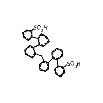 O=S(=O)(O)c1ccccc1-c1ccccc1-c1ccccc1Cc1ccccc1-c1ccccc1-c1ccccc1S(=O)(=O)O